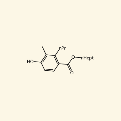 CCCCCCCOC(=O)c1ccc(O)c(C)c1CCC